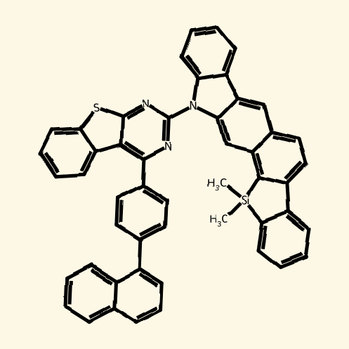 C[Si]1(C)c2ccccc2-c2ccc3cc4c5ccccc5n(-c5nc(-c6ccc(-c7cccc8ccccc78)cc6)c6c(n5)sc5ccccc56)c4cc3c21